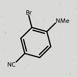 CNc1ccc(C#N)cc1Br